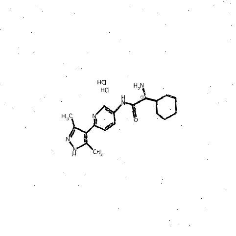 Cc1n[nH]c(C)c1-c1ccc(NC(=O)[C@@H](N)C2CCCCC2)cn1.Cl.Cl